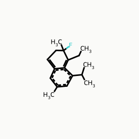 CCC1=c2c(C(C)C)cc(C)cc2=CCC1(C)F